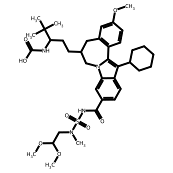 COc1ccc2c(c1)CC(CCC(NC(=O)O)C(C)(C)C)Cn1c-2c(C2CCCCC2)c2ccc(C(=O)NS(=O)(=O)N(C)CC(OC)OC)cc21